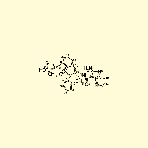 C[C@@H](NC(=O)c1c(N)nn2cccnc12)c1cc2cccc(C#CC(C)(C)O)c2c(=O)n1-c1ccccc1